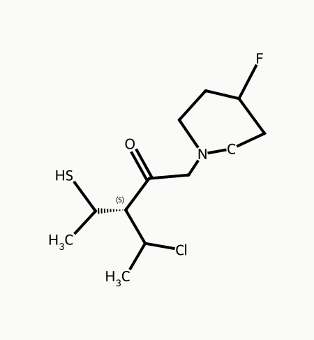 CC(S)[C@H](C(=O)CN1CCC(F)CC1)C(C)Cl